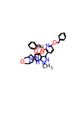 Cn1nc(-c2ccc(OCc3ccccc3)nc2OCc2ccccc2)c2ccc(N3C4COCC3CC(NC(=O)OC(C)(C)C)C4)cc21